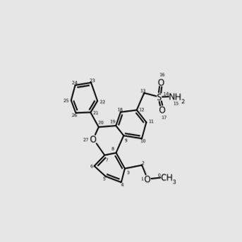 COCc1cccc2c1-c1ccc(CS(N)(=O)=O)cc1C(c1ccccc1)O2